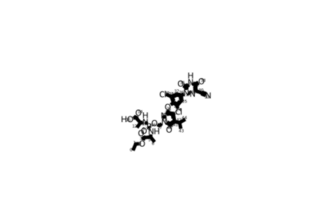 CCOC(=O)C(C)NP(=O)(NC(C)C(=O)O)OCn1nc(Oc2c(Cl)cc(-n3nc(C#N)c(=O)[nH]c3=O)cc2Cl)cc(C(C)C)c1=O